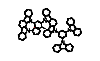 CC1CC=C(n2c3ccccc3c3ccc4c5ccccc5n(-c5ccccc5)c4c32)C=C1n1c2ccccc2c2ccc3c(c4ccccc4n3-c3cc(-n4c5ccccc5c5ccccc54)cc(-n4c5ccccc5c5ccccc54)c3)c21